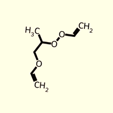 C=COCC(C)OOC=C